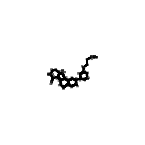 COCCOc1cncc(-c2cc3c(ccc4c5c([nH]c43)CCNC5=O)cn2)c1